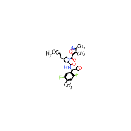 C=C=CC[C@@H]1C[C@H](C(=O)N[C@@H](c2cc(F)c(C)cc2F)C2COC2)N(C(=O)c2onc(C)c2C)C1